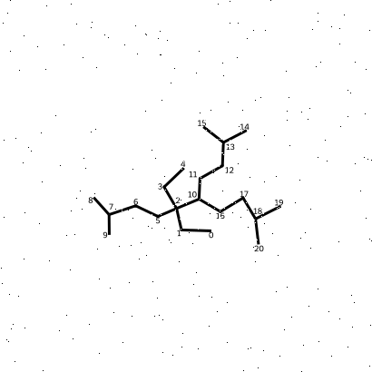 CCC(CC)(CCC(C)C)C(CCC(C)C)CCC(C)C